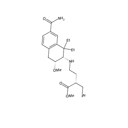 CCC1(CC)c2cc(C(N)=O)ccc2C[C@@H](OC)[C@H]1NCC[C@H](CC(C)C)C(=O)OC